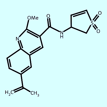 C=C(C)c1ccc2nc(OC)c(C(=O)NC3C=CS(=O)(=O)C3)cc2c1